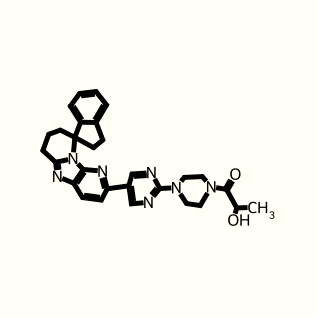 CC(O)C(=O)N1CCN(c2ncc(-c3ccc4nc5n(c4n3)C3(CCC5)CCc4ccccc43)cn2)CC1